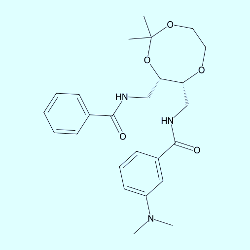 CN(C)c1cccc(C(=O)NC[C@H]2OCCOC(C)(C)O[C@H]2CNC(=O)c2ccccc2)c1